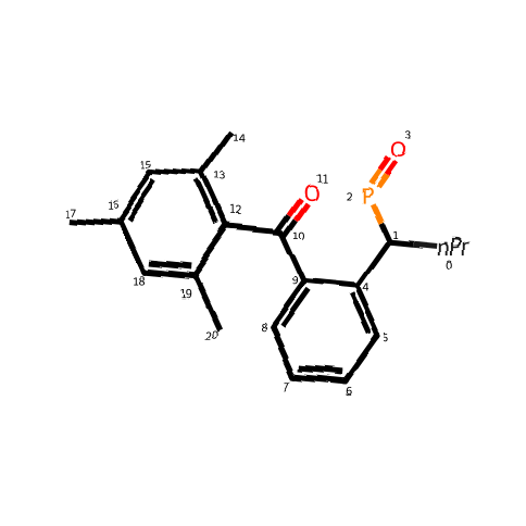 CCCC(P=O)c1ccccc1C(=O)c1c(C)cc(C)cc1C